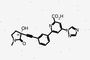 CN1CC[C@@](O)(C#Cc2cccc(-c3cc(-n4cncn4)cc(C(=O)O)n3)c2)C1=O